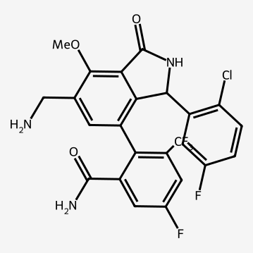 COc1c(CN)cc(-c2c(C(N)=O)cc(F)cc2C(F)(F)F)c2c1C(=O)NC2c1cc(F)ccc1Cl